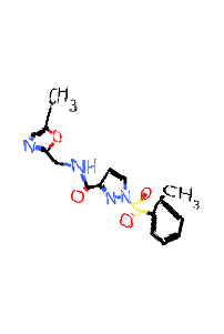 Cc1cnc(CNC(=O)c2ccn(S(=O)(=O)c3ccccc3C)n2)o1